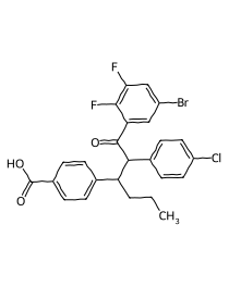 CCCC(c1ccc(C(=O)O)cc1)C(C(=O)c1cc(Br)cc(F)c1F)c1ccc(Cl)cc1